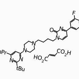 CCCc1cc(N2CCN(CCCCn3ccc(-c4cccc(F)c4)nc3=O)CC2)nc(C(C)(C)C)n1.O=C(O)C=CC(=O)O